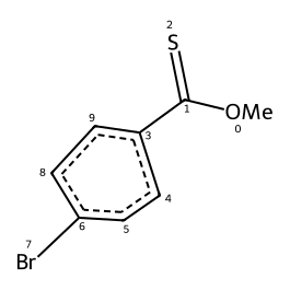 COC(=S)c1ccc(Br)cc1